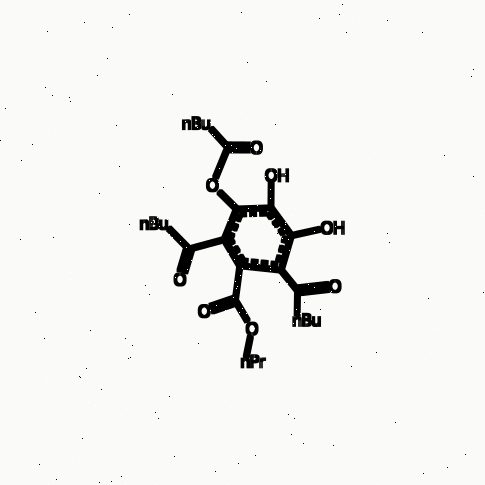 CCCCC(=O)Oc1c(O)c(O)c(C(=O)CCCC)c(C(=O)OCCC)c1C(=O)CCCC